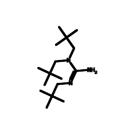 CC(C)(C)CN=C(N)N(CC(C)(C)C)CC(C)(C)C